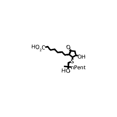 CCCCCC(C)(O)CSC1C(O)CC(=O)C1CCCCCCC(=O)O